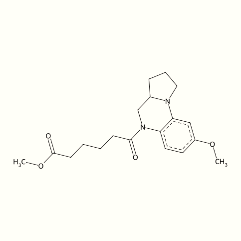 COC(=O)CCCCC(=O)N1CC2CCCN2c2cc(OC)ccc21